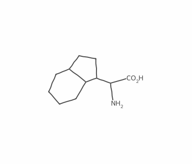 NC(C(=O)O)C1CCC2CCCCC21